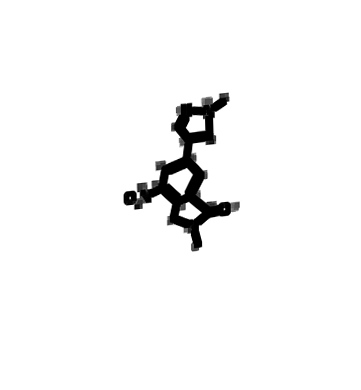 CN1Cc2c(cc(-c3cnn(C)c3)cc2[N+](=O)[O-])C1=O